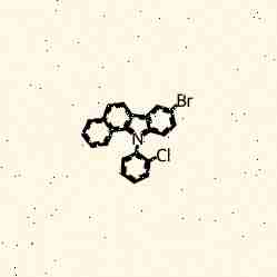 Clc1ccccc1-n1c2ccc(Br)cc2c2ccc3ccccc3c21